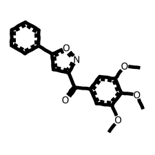 COc1cc(C(=O)c2cc(-c3ccccc3)on2)cc(OC)c1OC